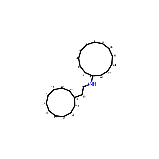 C1CCCCCCC(NCCC2CCCCCCCCCC2)CCCCC1